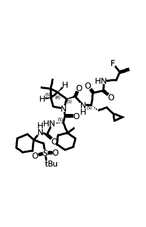 C=C(F)CNC(=O)C(=O)[C@H](CCC1CC1)NC(=O)[C@@H]1[C@@H]2[C@H](CN1C(=O)[C@@H](NC(=O)NC1(CS(=O)(=O)C(C)(C)C)CCCCC1)C1(C)CCCCC1)C2(C)C